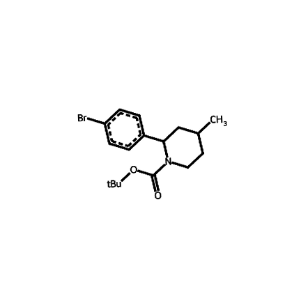 CC1CCN(C(=O)OC(C)(C)C)C(c2ccc(Br)cc2)C1